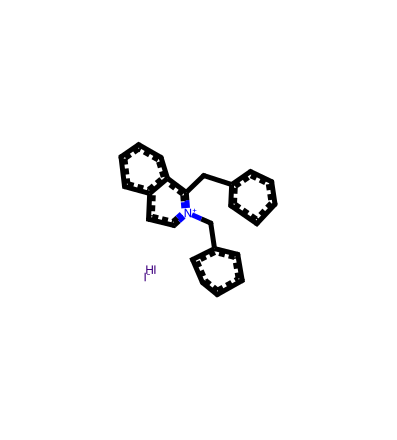 I.[I-].c1ccc(Cc2c3ccccc3cc[n+]2Cc2ccccc2)cc1